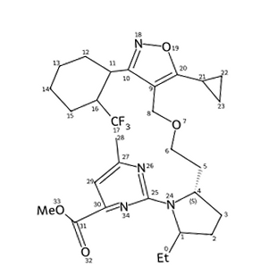 CCC1CC[C@@H](CCOCc2c(C3CCCCC3C(F)(F)F)noc2C2CC2)N1c1nc(C)cc(C(=O)OC)n1